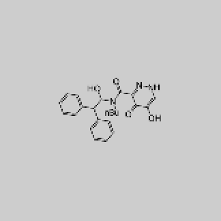 CCCCN(C(=O)c1n[nH]cc(O)c1=O)C(O)C(c1ccccc1)c1ccccc1